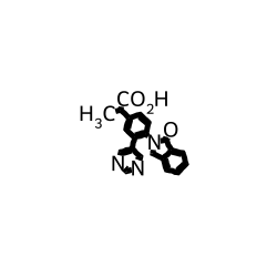 CC(C(=O)O)c1ccc(N2Cc3ccccc3C2=O)c(-c2cncnc2)c1